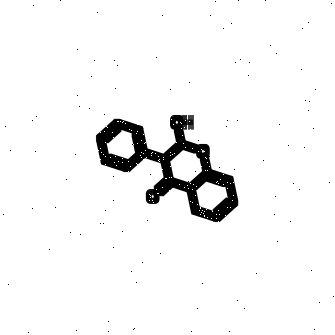 O=C1C2CC=CC=C2OC(O)C1c1ccccc1